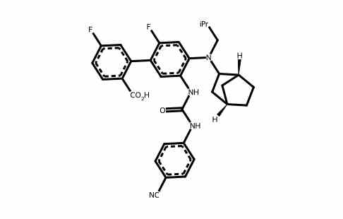 CC(C)CN(c1cc(F)c(-c2cc(F)ccc2C(=O)O)cc1NC(=O)Nc1ccc(C#N)cc1)C1C[C@H]2CC[C@@H]1C2